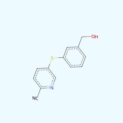 N#Cc1ccc(Sc2cccc(CO)c2)cn1